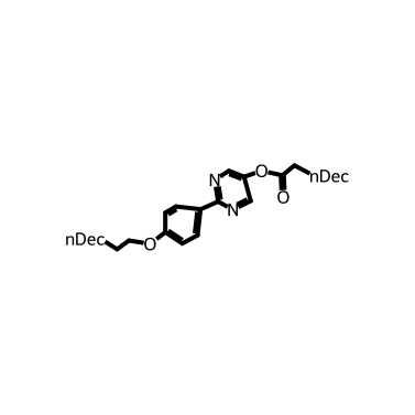 CCCCCCCCCCCCOc1ccc(-c2ncc(OC(=O)CCCCCCCCCCC)cn2)cc1